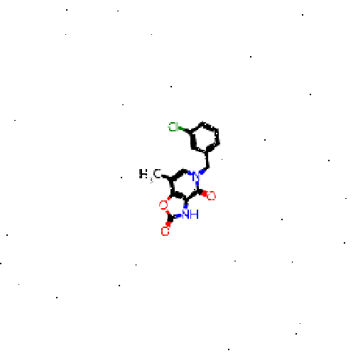 Cc1cn(Cc2cccc(Cl)c2)c(=O)c2[nH]c(=O)oc12